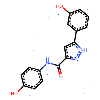 O=C(Nc1ccc(O)cc1)c1cc(-c2cccc(O)c2)[nH]n1